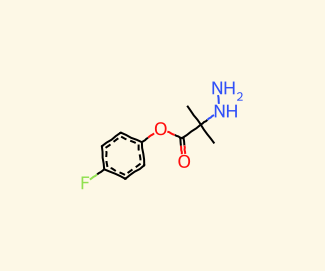 CC(C)(NN)C(=O)Oc1ccc(F)cc1